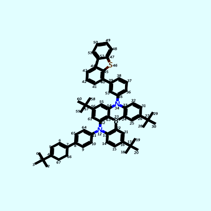 CC(C)(C)C1=CC=C(c2ccc(N3c4ccc(C(C)(C)C)cc4B4c5cc(C(C)(C)C)ccc5N(c5cccc(-c6cccc7c6sc6ccccc67)c5)c5cc(C(C)(C)C)cc3c54)cc2)CC1